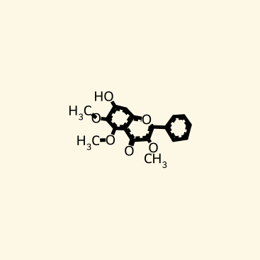 COc1c(O)cc2oc(-c3ccccc3)c(OC)c(=O)c2c1OC